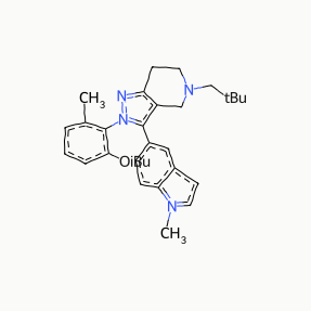 Cc1cccc(OCC(C)C)c1-n1nc2c(c1-c1ccc3c(ccn3C)c1)CN(CC(C)(C)C)CC2